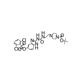 CC(C)(C)OC(=O)N1CCN(CCNC(=O)Nc2nc3cc(OS(=O)(=O)c4c(Cl)cccc4Cl)ccc3[nH]2)CC1